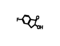 O=C1c2ccc(F)cc2CC1O